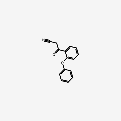 N#CCC(=O)c1ccccc1Oc1ccccc1